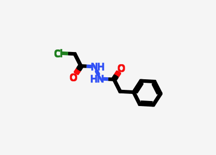 O=C(CCl)NNC(=O)Cc1ccccc1